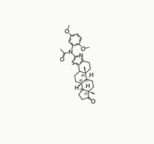 COc1ccc(OC)c(N(C(C)=O)c2nc3c(s2)C2CC[C@@H]4[C@H](CC[C@]5(C)C(=O)CC[C@@H]45)[C@@]2(C)CC3)c1